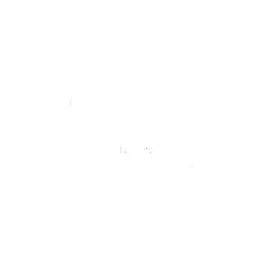 CCCCS[n+]1ccn(CCCC)c1